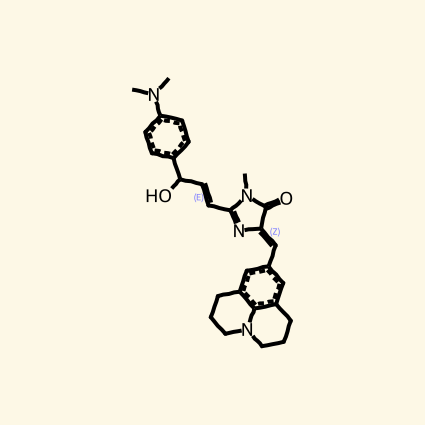 CN1C(=O)/C(=C/c2cc3c4c(c2)CCCN4CCC3)N=C1/C=C/C(O)c1ccc(N(C)C)cc1